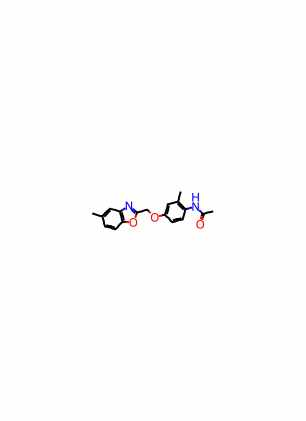 CC(=O)Nc1ccc(OCc2nc3cc(C)ccc3o2)cc1C